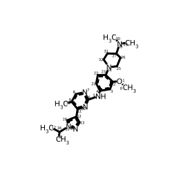 COc1cc(Nc2ncc(C)c(-c3cnn(C(C)C)c3)n2)ccc1N1CCC(N(C)C)CC1